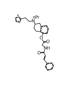 CCCN(CCc1cccs1)C1CCc2c(cccc2OC(=O)CNC(=O)C=Cc2ccccc2)C1